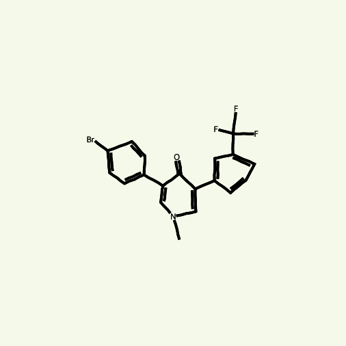 Cn1cc(-c2ccc(Br)cc2)c(=O)c(-c2cccc(C(F)(F)F)c2)c1